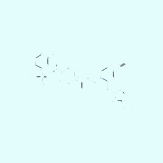 Cc1nnn(Cc2cc(C#N)ccc2CCC(=O)N2CCC(S(=O)(=O)c3c(F)cccc3S(N)(=O)=O)CC2)n1